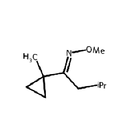 CON=C(CC(C)C)C1(C)CC1